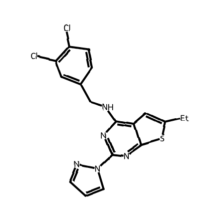 CCc1cc2c(NCc3ccc(Cl)c(Cl)c3)nc(-n3cccn3)nc2s1